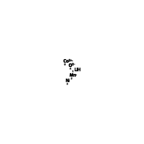 [Co+2].[LiH].[Mn].[Ni].[O-2]